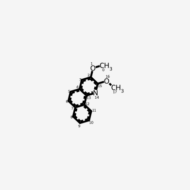 COc1cc2ccc3ccccc3c2nc1OC